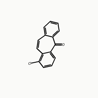 O=c1c2ccccc2ccc2c(Cl)cccc12